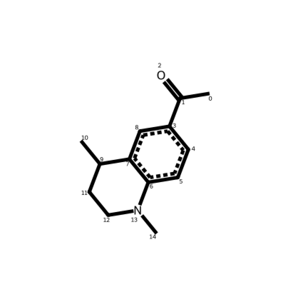 CC(=O)c1ccc2c(c1)C(C)CCN2C